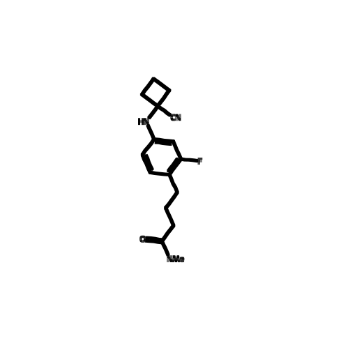 CNC(=O)CCCc1ccc(NC2(C#N)CCC2)cc1F